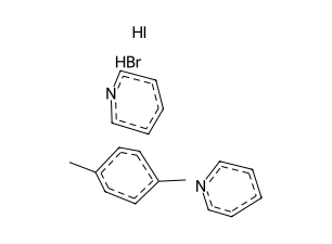 Br.Cc1ccc(C)cc1.I.c1ccncc1.c1ccncc1